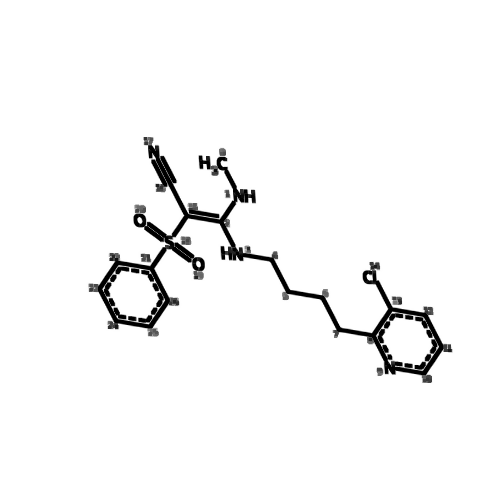 CNC(NCCCCc1ncccc1Cl)=C(C#N)S(=O)(=O)c1ccccc1